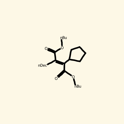 CCCCCCCCCCC(C(=O)OCCCC)=C(C(=O)OCCCC)C1CCCC1